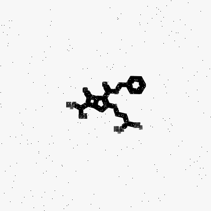 CC(O)C1C(=O)N2C(C(=O)OCc3ccccc3)=C(SCCN(C)C)CC12